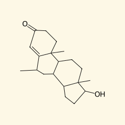 CC1CC2C(CCC3(C)C(O)CCC23)C2(C)CCC(=O)C=C12